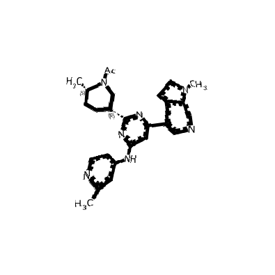 CC(=O)N1C[C@H](c2nc(Nc3ccnc(C)c3)cc(-c3cncc4c3ccn4C)n2)CC[C@@H]1C